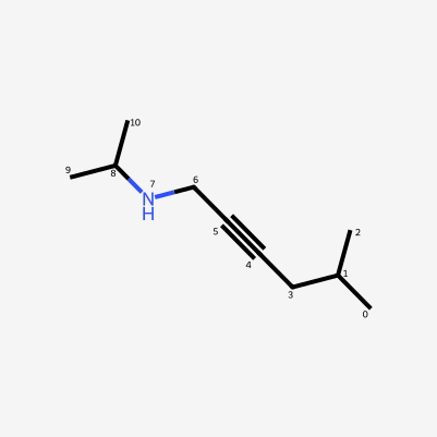 CC(C)CC#CCNC(C)C